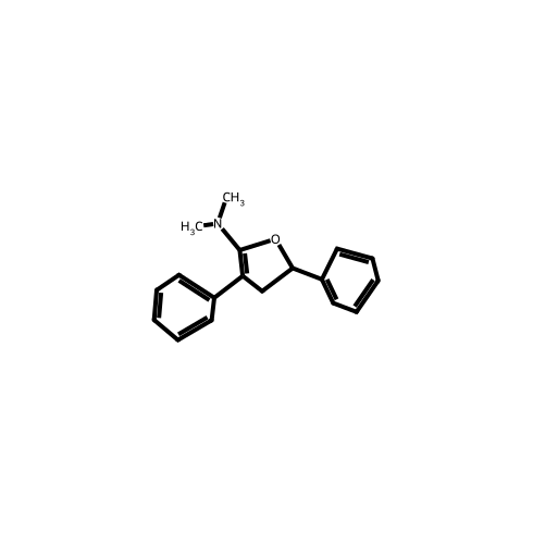 CN(C)C1=C(c2ccccc2)CC(c2ccccc2)O1